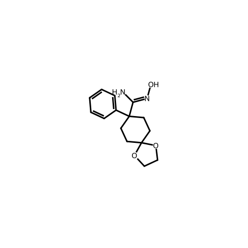 N/C(=N\O)C1(c2ccccc2)CCC2(CC1)OCCO2